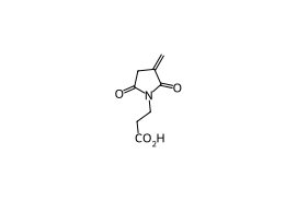 C=C1CC(=O)N(CCC(=O)O)C1=O